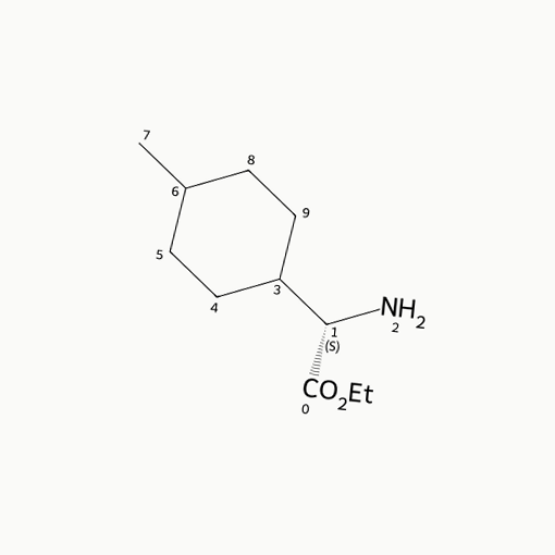 CCOC(=O)[C@@H](N)C1CCC(C)CC1